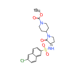 CC(C)(C)OC(=O)N1CCC(N2CC[C@H](NS(=O)(=O)c3ccc4cc(Cl)ccc4c3)C2=O)CC1